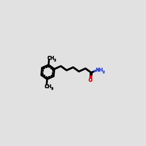 Cc1ccc(C)c(CCCCCC(N)=O)c1